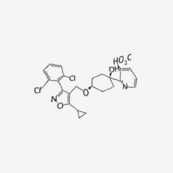 O=C(O)c1cccnc1[C@]1(O)CC[C@@H](OCc2c(-c3c(Cl)cccc3Cl)noc2C2CC2)CC1